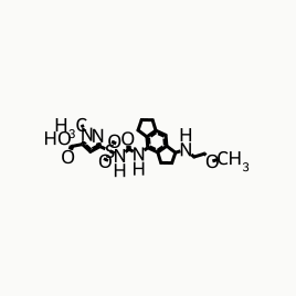 COCCNC1CCc2c1cc1c(c2NC(=O)NS(=O)(=O)c2cc(C(=O)O)n(C)n2)CCC1